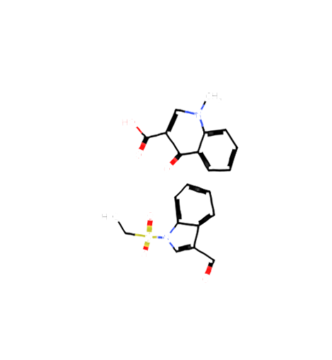 CCS(=O)(=O)n1cc(C=O)c2ccccc21.Cn1cc(C(=O)O)c(=O)c2ccccc21